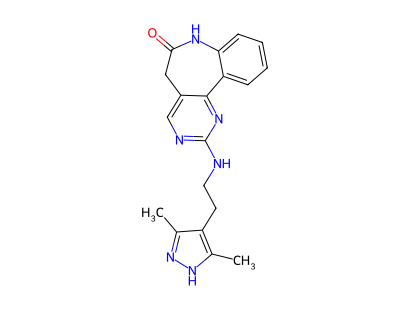 Cc1n[nH]c(C)c1CCNc1ncc2c(n1)-c1ccccc1NC(=O)C2